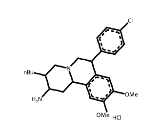 CCCCC1CN2CC(c3ccc(Cl)cc3)c3cc(OC)c(OC)cc3C2CC1N.Cl